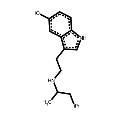 CC(C)CC(C)NCCc1c[nH]c2ccc(O)cc12